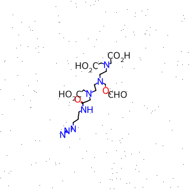 [N-]=[N+]=NCCCNC(=O)CN(CCN(CCN(CC(=O)O)CC(=O)O)COC=O)CC(=O)O